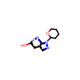 Oc1cnc2c(cnn2C2CCCCO2)c1